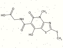 CSc1nc2c(s1)c(O)c(C(=O)NCC(=O)O)c(=O)n2C